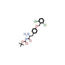 CC(C)(C)OC(=O)[N]C(=O)[C@@H](N)Cc1ccc(OCc2c(Cl)cccc2Cl)cc1